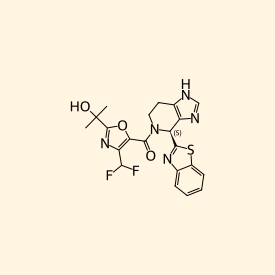 CC(C)(O)c1nc(C(F)F)c(C(=O)N2CCc3[nH]cnc3[C@H]2c2nc3ccccc3s2)o1